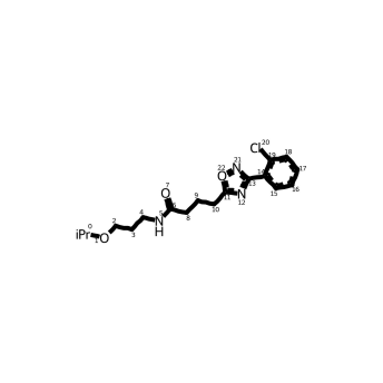 CC(C)OCCCNC(=O)CCCc1nc(-c2ccccc2Cl)no1